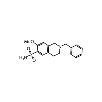 COc1cc2c(cc1S(N)(=O)=O)CCN(Cc1ccccc1)C2